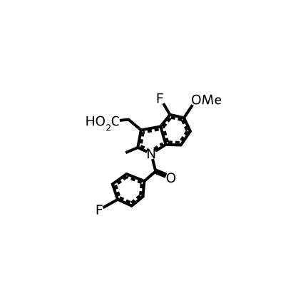 COc1ccc2c(c1F)c(CC(=O)O)c(C)n2C(=O)c1ccc(F)cc1